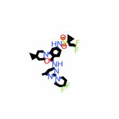 Cc1cc(NC(=O)c2ccc(NS(=O)(=O)C3(C=C(F)F)CC3)cc2N2CCC3(CC2)CC3)nc(N2CCC(F)(F)CC2)n1